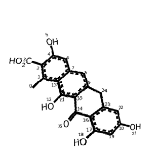 Cc1c(C(=O)O)c(O)cc2cc3c(c(O)c12)C(=O)c1c(O)cc(O)cc1C3